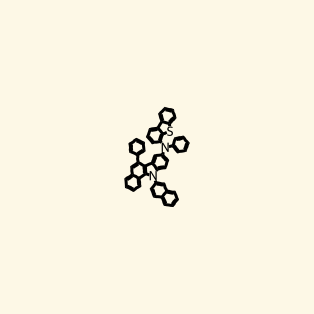 c1ccc(-c2cc3ccccc3c3c2c2cc(N(c4ccccc4)c4cccc5c4sc4ccccc45)ccc2n3-c2ccc3ccccc3c2)cc1